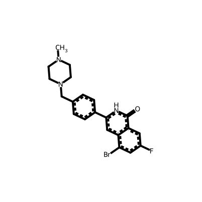 CN1CCN(Cc2ccc(-c3cc4c(Br)cc(F)cc4c(=O)[nH]3)cc2)CC1